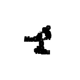 COCOc1cc(OCCCN(C(=O)OC(C)(C)C)c2ccccn2)cc2c1C(=O)O[C@@H](C)[C@H](C)/C=C\C(OC(=O)c1ccccc1)[C@H]1OC(C)(C)O[C@H]1C/C=C/2